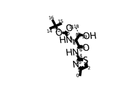 Cc1csc(NC(=O)[C@H](NC(=O)OC(C)(C)C)[C@H](C)O)n1